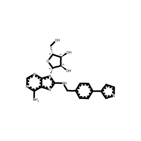 Nc1ncnc2c1nc(NCc1ccc(-c3ccsc3)cc1)n2[C@@H]1O[C@H](CO)[C@@H](O)[C@H]1O